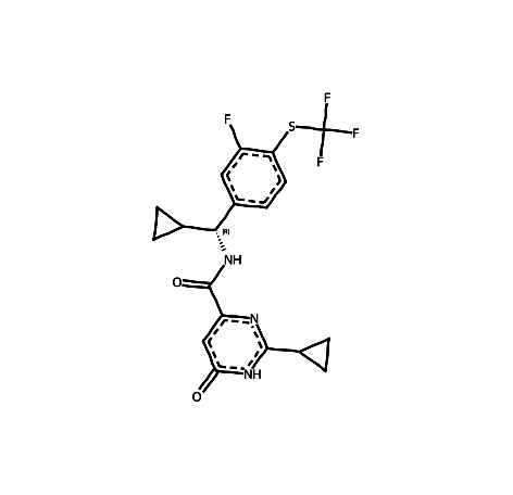 O=C(N[C@@H](c1ccc(SC(F)(F)F)c(F)c1)C1CC1)c1cc(=O)[nH]c(C2CC2)n1